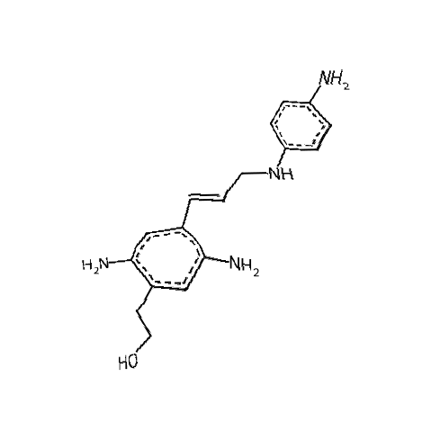 Nc1ccc(NCC=Cc2cc(N)c(CCO)cc2N)cc1